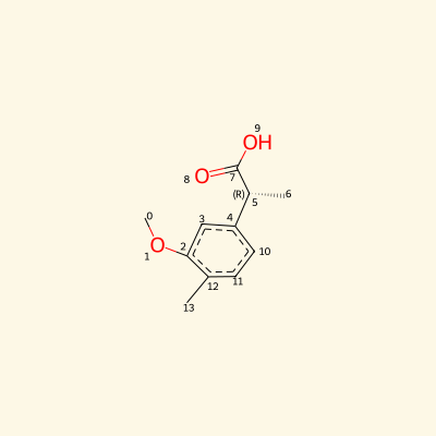 COc1cc([C@@H](C)C(=O)O)ccc1C